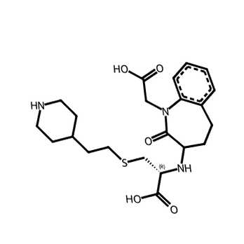 O=C(O)CN1C(=O)C(N[C@@H](CSCCC2CCNCC2)C(=O)O)CCc2ccccc21